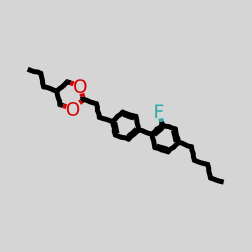 CCCCCc1ccc(-c2ccc(CCC3OCC(CCC)CO3)cc2)c(F)c1